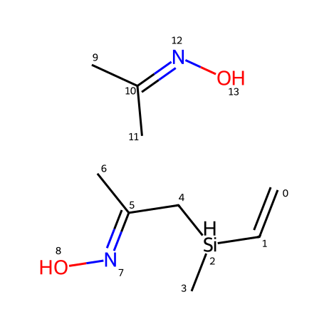 C=C[SiH](C)CC(C)=NO.CC(C)=NO